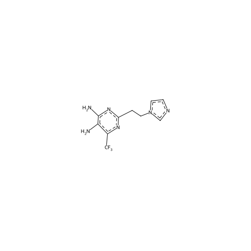 Nc1nc(CCn2ccnc2)nc(C(F)(F)F)c1N